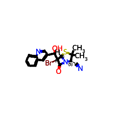 CC1(C)S[C@H]2N(C(=O)[C@]2(Br)C(O)c2cnc3ccccc3c2)[C@H]1C#N